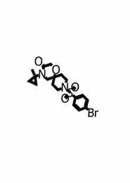 CC1(N2CC3(CCN(S(=O)(=O)c4ccc(Br)cc4)CC3)OCC2=O)CC1